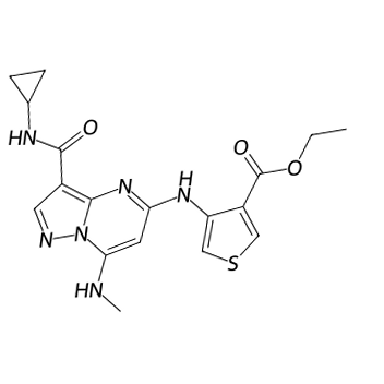 CCOC(=O)c1cscc1Nc1cc(NC)n2ncc(C(=O)NC3CC3)c2n1